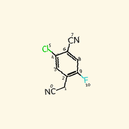 N#CCc1cc(Cl)c(C#N)cc1F